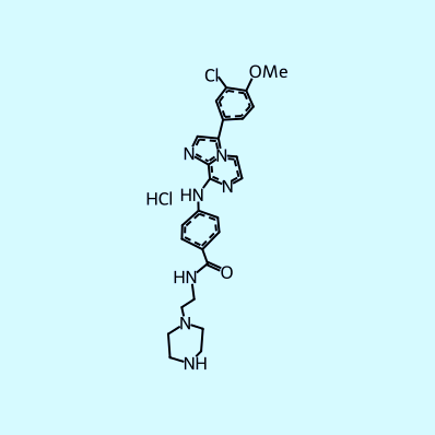 COc1ccc(-c2cnc3c(Nc4ccc(C(=O)NCCN5CCNCC5)cc4)nccn23)cc1Cl.Cl